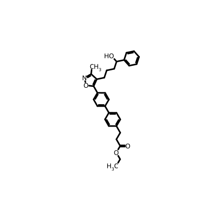 CCOC(=O)CCc1ccc(-c2ccc(-c3onc(C)c3CCCC(O)c3ccccc3)cc2)cc1